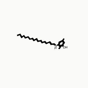 CCCCCCCCCCCCCCCCCCNc1cc(C)cc(O)c1C